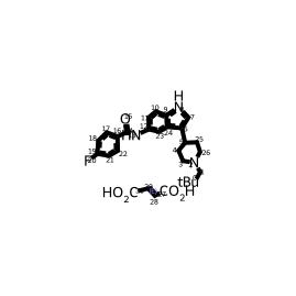 CC(C)(C)CN1CCC(c2c[nH]c3ccc(NC(=O)c4ccc(F)cc4)cc23)CC1.O=C(O)/C=C/C(=O)O